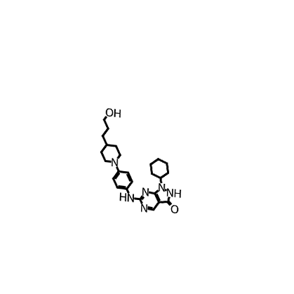 O=c1[nH]n(C2CCCCC2)c2nc(Nc3ccc(N4CCC(CCCO)CC4)cc3)ncc12